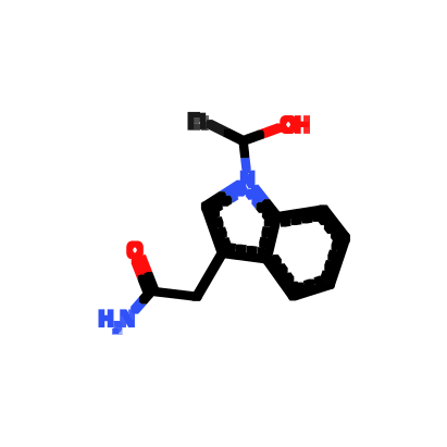 CCC(O)n1cc(CC(N)=O)c2ccccc21